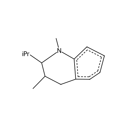 CC(C)C1C(C)Cc2ccccc2N1C